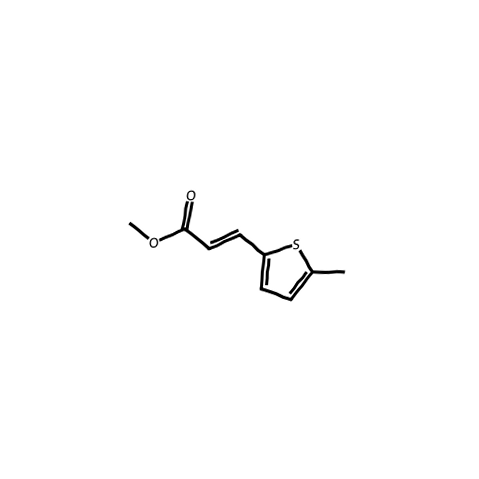 COC(=O)/C=C/c1ccc(C)s1